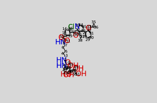 O=C(NCCCCCNS(=O)(=O)c1ccc(Cl)c(COC2(c3cnccc3-c3ccccc3OC3CC3)CC2)c1)N[C@@H](CO)[C@@H](O)[C@H](O)[C@H](O)CO